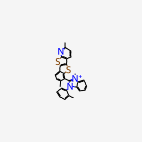 Cc1ccc2c(n1)sc1c3ccc(C)c(-c4n(-c5ccccc5C)c5ccccc5[n+]4C)c3sc21